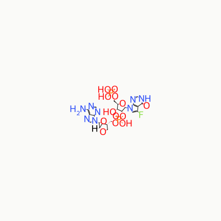 Nc1ncnc2c1ncn2[C@@H]1O[C@@]2(COP(=O)(O)O[C@@H]3[C@H](O)[C@@H](COP(=O)(O)O)O[C@H]3n3cc(F)c4c(=O)[nH]cnc43)CO[C@@H]1C2